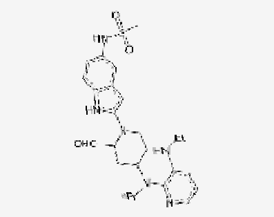 CCCN(c1ncccc1NCC)C1CCN(c2cc3cc(NS(C)(=O)=O)ccc3[nH]2)C(C=O)C1